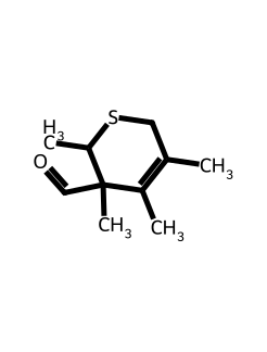 CC1=C(C)C(C)(C=O)C(C)SC1